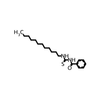 CCCCCCCCCCCCNC(=S)NC(=O)c1ccccc1